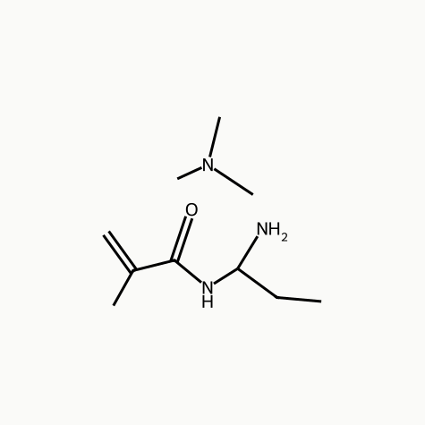 C=C(C)C(=O)NC(N)CC.CN(C)C